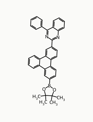 CC1(C)OB(c2ccc3c4ccc(-c5nc(-c6ccccc6)c6ccccc6n5)cc4c4ccccc4c3c2)OC1(C)C